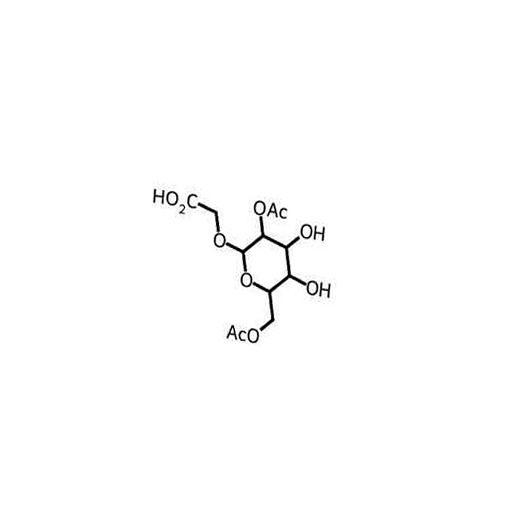 CC(=O)OCC1OC(OCC(=O)O)C(OC(C)=O)C(O)C1O